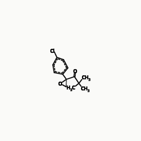 CC(C)(C)C(=O)C1(c2ccc(Cl)cc2)CO1